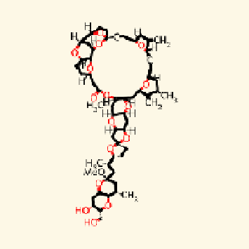 C=C1C2C[C@@H]3O[C@H]4C[C@H]5O[C@@]6(CC[C@H]([C@@H](C)C[C@]7(OC)C[C@H](C)C8O[C@H](CO)[C@H](O)CC8O7)O6)C[C@H]5O[C@H]4[C@H](C)[C@H]3OC(=O)C[C@H]3CC[C@@H]4O[C@@H]5C[C@@H](O[C@@]6(CC[C@H]7CC(=C)[C@H](CC[C@@H](C[C@H]1C)O2)O7)CC[C@@H]5O6)[C@H]4O3